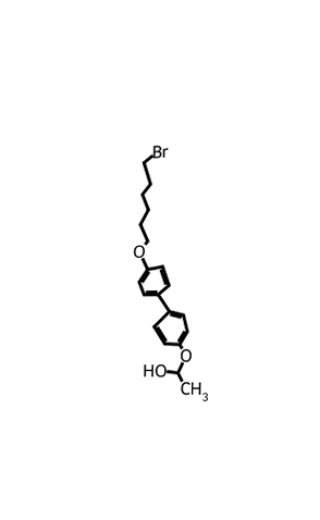 CC(O)Oc1ccc(-c2ccc(OCCCCCCBr)cc2)cc1